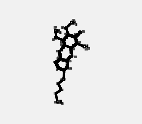 CCCCOc1ccc2nc3c(OC)c(OC)c(=O)c(C)c-3sc2c1